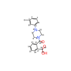 Cc1cccc(N2CCN(C(=O)c3ccccc3C(=O)O)CC2)c1